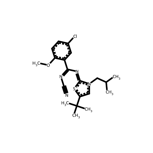 COc1ccc(Cl)cc1C(=NC#N)N=c1sc(C(C)(C)C)cn1CC(C)C